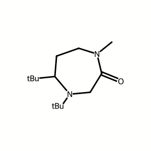 CN1CCC(C(C)(C)C)N(C(C)(C)C)CC1=O